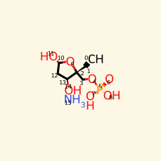 C#C[C@]1(COP(=O)(O)O)OC(O)C[C@@H]1O.N